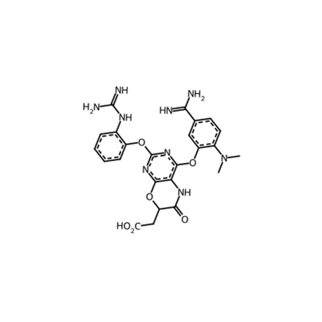 CN(C)c1ccc(C(=N)N)cc1Oc1nc(Oc2ccccc2NC(=N)N)nc2c1NC(=O)C(CC(=O)O)O2